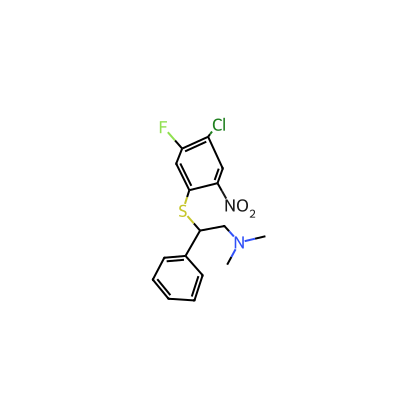 CN(C)CC(Sc1cc(F)c(Cl)cc1[N+](=O)[O-])c1ccccc1